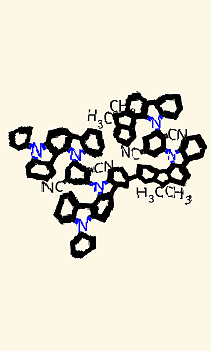 CC1(C)c2ccccc2-c2c1ccc1c3ccccc3n(-c3cc(C#N)cc(-n4c5ccccc5c5ccc6c(c54)-c4ccc(-c5ccc7c(c5)c5ccc8c(c9ccccc9n8-c8ccccc8)c5n7-c5cc(C#N)cc(-n7c8ccccc8c8ccc9c(c%10ccccc%10n9-c9ccccc9)c87)c5C#N)cc4C6(C)C)c3C#N)c21